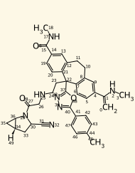 C=C(NC)c1ccc2c(c1)CCc1cc(C(=O)NC)ccc1C2(CCNCC(=O)N1C(C#N)C[C@@H]2CC21)c1nnc(-c2ccc(C)cc2)o1